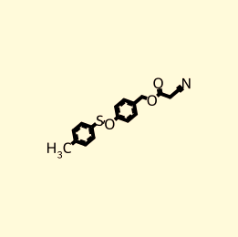 Cc1ccc(SOc2ccc(COC(=O)CC#N)cc2)cc1